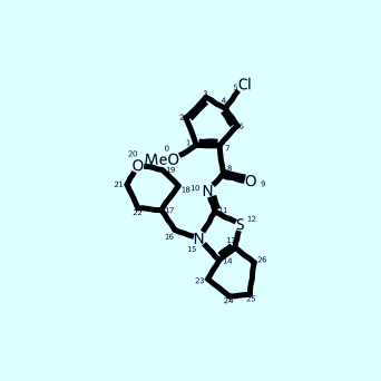 COc1ccc(Cl)cc1C(=O)N=c1sc2c(n1CC1CCOCC1)CCCC2